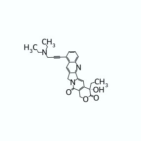 CCN(CC)CC#Cc1cccc2nc3c(cc12)Cn1c-3cc2c(c1=O)COC(=O)[C@]2(O)CC